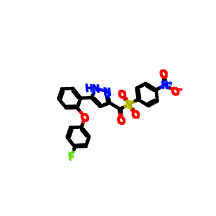 O=C(c1cc(-c2ccccc2Oc2ccc(F)cc2)[nH]n1)S(=O)(=O)c1ccc([N+](=O)[O-])cc1